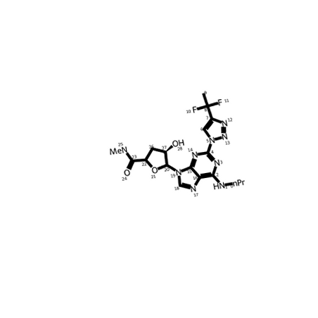 CCCNc1nc(-n2cc(C(C)(F)F)nn2)nc2c1ncn2C1OC(C(=O)NC)C[C@H]1O